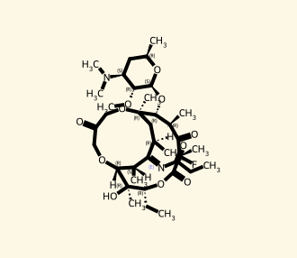 CCC(=O)/N=C1\[C@H](C)C[C@@]2(C)OCC(=O)CO[C@H]([C@H]1C)[C@](C)(O)[C@@H](CC)OC(=O)[C@@](C)(F)C(=O)[C@H](C)[C@H]2O[C@@H]1O[C@H](C)C[C@H](N(C)C)[C@H]1OC